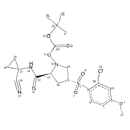 COc1ccc(S(=O)(=O)[C@@H]2C[C@@H](C(=O)NC3(C#N)CC3)N(OC(=O)OC(C)(C)C)C2)c(Cl)c1